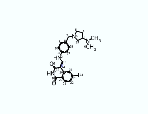 CN(C)C1CCN(Cc2ccc(N/C=C3\C(=O)NC(=O)c4ccc(I)cc43)cc2)C1